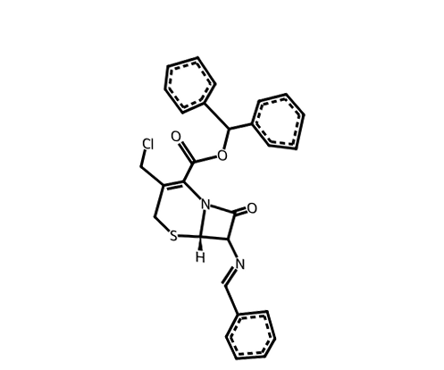 O=C(OC(c1ccccc1)c1ccccc1)C1=C(CCl)CS[C@H]2C(N=Cc3ccccc3)C(=O)N12